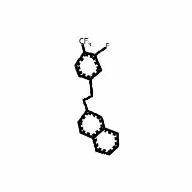 Fc1cc(CCc2ccc3ccccc3c2)ccc1C(F)(F)F